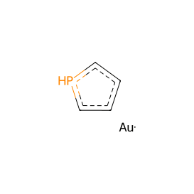 [Au].c1cc[pH]c1